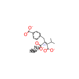 CC(C)/C(C(=O)[O-])=C(\Cc1ccc(C(=O)[O-])cc1)C(=O)[O-].[Na+].[Na+].[Na+]